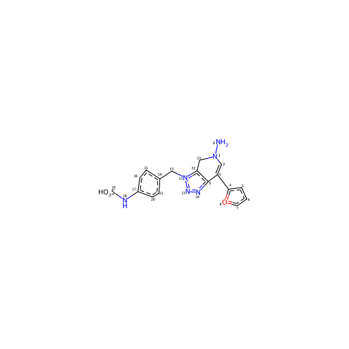 NN1C=C(c2ccco2)c2nnn(Cc3ccc(NS(=O)(=O)O)cc3)c2C1